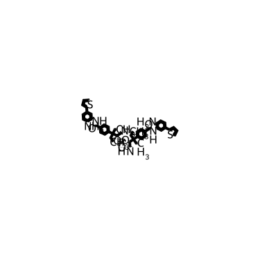 CCC(CC)(c1ccc(C(=O)Nc2cc(-c3cccs3)ccc2N)cc1)C(C#N)O[PH](=O)OC(C#N)C(CC)(CC)c1ccc(C(=O)Nc2cc(-c3cccs3)ccc2N)cc1